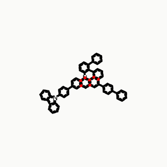 c1ccc(-c2ccc(-c3ccc(N(c4ccc(-c5ccc(-n6c7ccccc7c7ccccc76)cc5)cc4)c4cccc(-c5ccccc5)c4-c4ccccc4-c4ccccc4)cc3)cc2)cc1